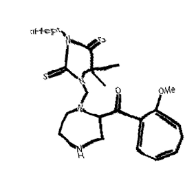 CCCCCCCN1C(=O)C(C)(C)N(N2CCNCC2C(=O)c2ccccc2OC)C1=S